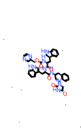 O=C1CN(/N=C/C(Cc2ccccc2)NC(=O)C(Cc2c[nH]c3ccccc23)NC(=O)C(CC2CNc3ccccc32)NC(=O)OCc2cnccn2)C(=O)N1